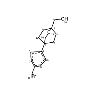 CC(C)c1ccc(C23CCC(CO)(CC2)CC3)cc1